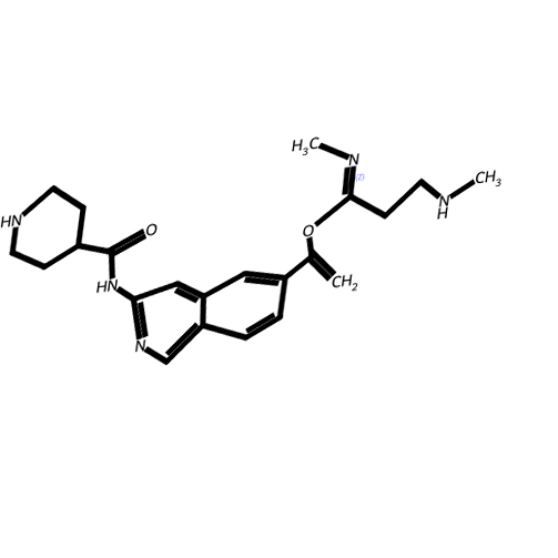 C=C(O/C(CCNC)=N\C)c1ccc2cnc(NC(=O)C3CCNCC3)cc2c1